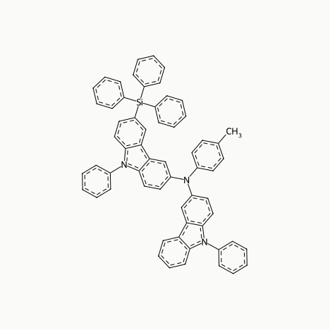 Cc1ccc(N(c2ccc3c(c2)c2ccccc2n3-c2ccccc2)c2ccc3c(c2)c2cc([Si](c4ccccc4)(c4ccccc4)c4ccccc4)ccc2n3-c2ccccc2)cc1